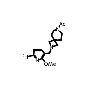 [2H]c1ccc(CN2CC3(CCN(C(C)=O)CC3)C2)c(OC)n1